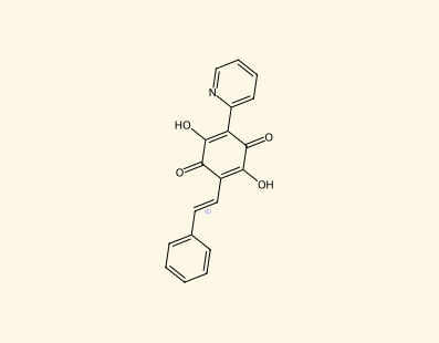 O=C1C(O)=C(c2ccccn2)C(=O)C(O)=C1/C=C/c1ccccc1